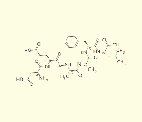 CC(C)C[C@H](NC(=O)[C@H](Cc1ccccc1)NC(=O)[C@H](C)NC(=O)[C@H](C)NSC(=O)[C@H](CCC(=O)O)NC(=O)[C@@H](N)CC(=O)O)C(=O)O